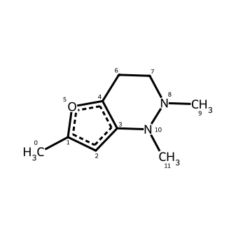 Cc1cc2c(o1)CCN(C)N2C